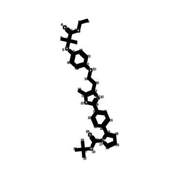 CCOC(=O)C(C)(C)Oc1ccc(OCCc2nc(-c3ccc(-c4cccn4C(=O)OC(C)(C)C)cc3)oc2C)cc1